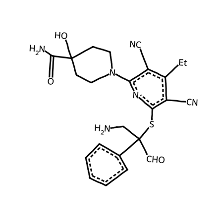 CCc1c(C#N)c(SC(C=O)(CN)c2ccccc2)nc(N2CCC(O)(C(N)=O)CC2)c1C#N